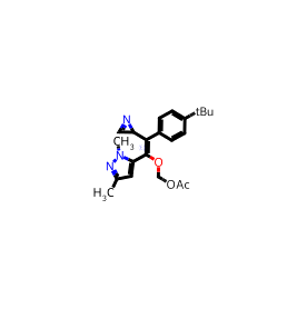 CC(=O)OCO/C(=C(\c1ccc(C(C)(C)C)cc1)C1C=N1)c1cc(C)nn1C